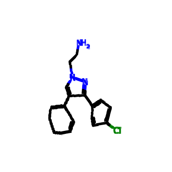 NCCn1cc(C2=CCCC=C2)c(-c2ccc(Cl)cc2)n1